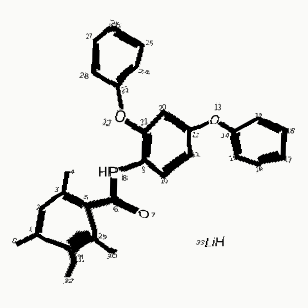 Cc1cc(C)c(C(=O)Pc2ccc(Oc3ccccc3)cc2Oc2ccccc2)c(C)c1C.[LiH]